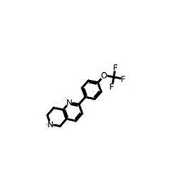 FC(F)(F)Oc1ccc(-c2ccc3c(n2)CC[N]C3)cc1